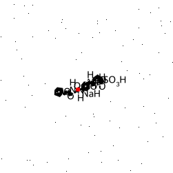 O=C(CNC(=O)OCc1ccccc1)Nc1ccc(NC(=O)N2CC[C@@H]3[C@H]2C(=O)N3S(=O)(=O)O)cc1.[NaH]